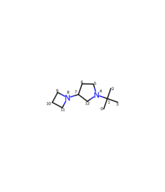 CC(C)(C)N1CCC(N2CCC2)C1